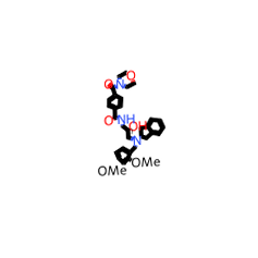 COc1cccc(CN(C[C@H](O)CNC(=O)c2ccc(C(=O)N3CCOCC3)cc2)C2Cc3ccccc3C2)c1OC